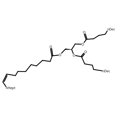 CCCCCCC/C=C\CCCCCCCC(=O)OC[C@@H](COC(=O)CCCCCCCCCCCCC)OC(=O)CCCCCCCCCCCCC